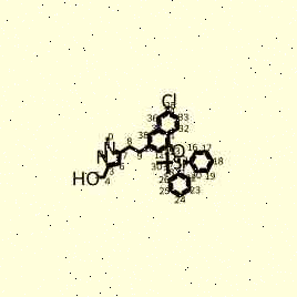 Cn1nc(CO)cc1CCc1cc(O[Si](c2ccccc2)(c2ccccc2)C(C)(C)C)c2ccc(Cl)cc2c1